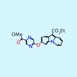 CCOC(=O)c1c2ccc(Oc3cnc(C(=O)OC)cn3)cc2n2ccccc12